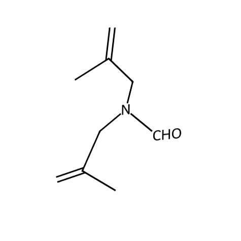 C=C(C)CN(C=O)CC(=C)C